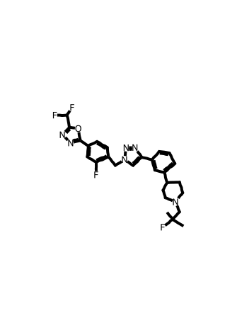 CC(C)(F)CN1CCC(c2cccc(-c3cn(Cc4ccc(-c5nnc(C(F)F)o5)cc4F)nn3)c2)CC1